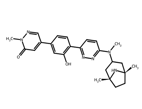 CN(c1ccc(-c2ccc(-c3cnn(C)c(=O)c3)cc2O)nn1)C1C[C@]2(C)CC[C@](C)(C1)N2